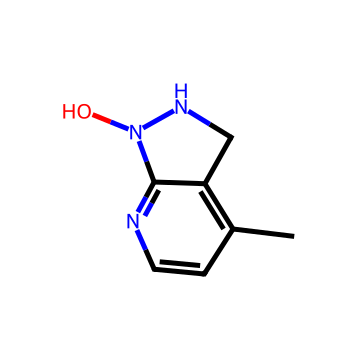 Cc1ccnc2c1CNN2O